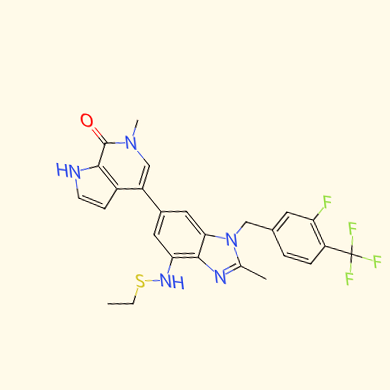 CCSNc1cc(-c2cn(C)c(=O)c3[nH]ccc23)cc2c1nc(C)n2Cc1ccc(C(F)(F)F)c(F)c1